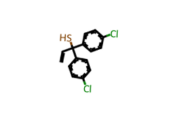 C=CC(S)(c1ccc(Cl)cc1)c1ccc(Cl)cc1